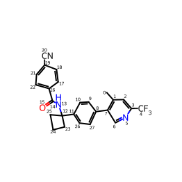 Cc1cc(C(F)(F)F)ncc1-c1ccc(C2(NC(=O)c3ccc(C#N)cc3)CCC2)cc1